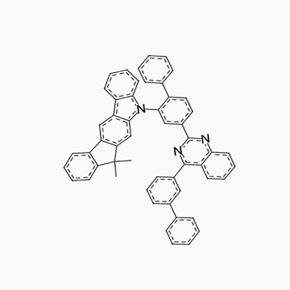 CC1(C)c2ccccc2-c2cc3c4ccccc4n(-c4cc(-c5nc(-c6cccc(-c7ccccc7)c6)c6ccccc6n5)ccc4-c4ccccc4)c3cc21